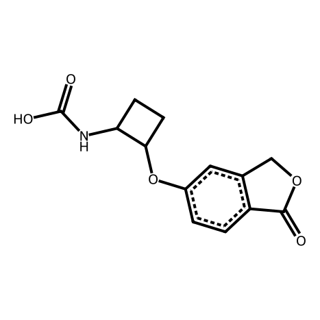 O=C(O)NC1CCC1Oc1ccc2c(c1)COC2=O